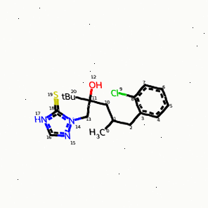 CC(Cc1ccccc1Cl)CC(O)(Cn1nc[nH]c1=S)C(C)(C)C